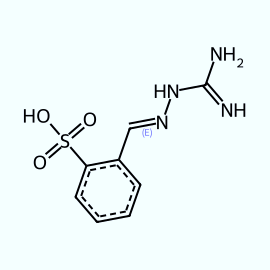 N=C(N)N/N=C/c1ccccc1S(=O)(=O)O